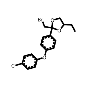 CCC1COC(CBr)(c2ccc(Oc3ccc(Cl)cc3)cc2)O1